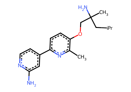 Cc1nc(-c2ccnc(N)c2)ccc1OCC(C)(N)CC(C)C